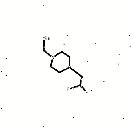 CC(C)(C)CN1CCN(CC(F)F)CC1